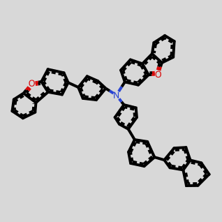 c1cc(-c2ccc(N(c3ccc(-c4ccc5oc6ccccc6c5c4)cc3)c3ccc4c(c3)oc3ccccc34)cc2)cc(-c2ccc3ccccc3c2)c1